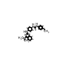 CSc1ccc(NC(=S)N[C@H]2CC[C@@H](Nc3nc4c(c(N(C)C)n3)CCCC4)CC2)cc1